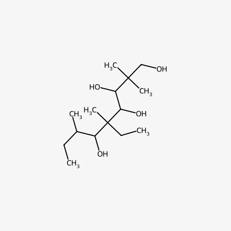 CCC(C)C(O)C(C)(CC)C(O)C(O)C(C)(C)CO